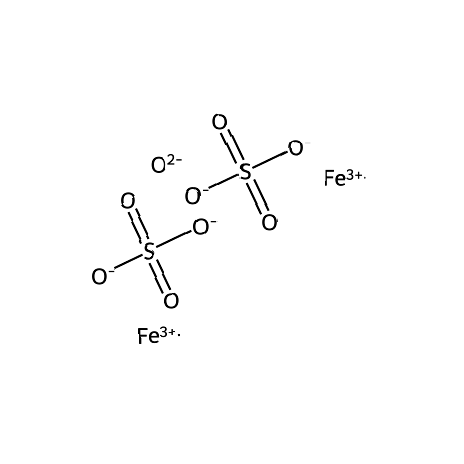 O=S(=O)([O-])[O-].O=S(=O)([O-])[O-].[Fe+3].[Fe+3].[O-2]